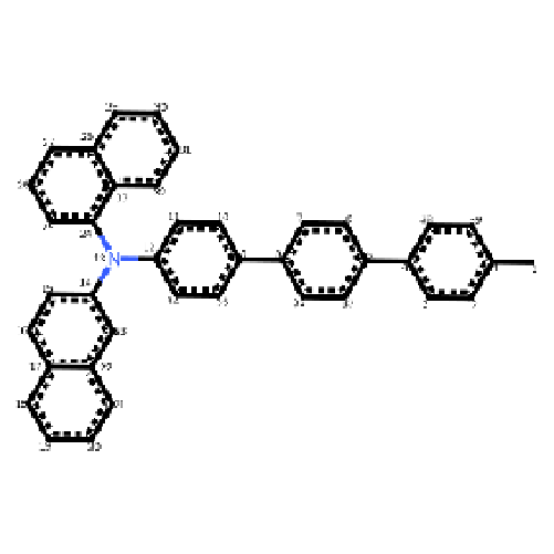 Cc1ccc(-c2ccc(-c3ccc(N(c4ccc5ccccc5c4)c4cccc5ccccc45)cc3)cc2)cc1